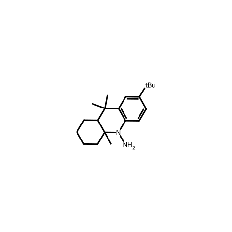 CC(C)(C)c1ccc2c(c1)C(C)(C)C1CCCCC1(C)N2N